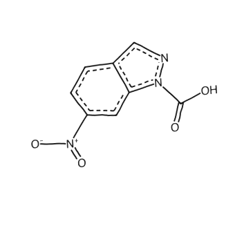 O=C(O)n1ncc2ccc([N+](=O)[O-])cc21